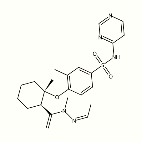 C=C([C@H]1CCCC[C@]1(C)Oc1ccc(S(=O)(=O)Nc2ccncn2)cc1C)N(C)/N=C\C